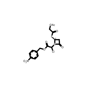 CC(=O)OCC(=O)S[C@H]1CC(=O)N1C(Cl)C(=O)OCc1ccc([N+](=O)[O-])cc1